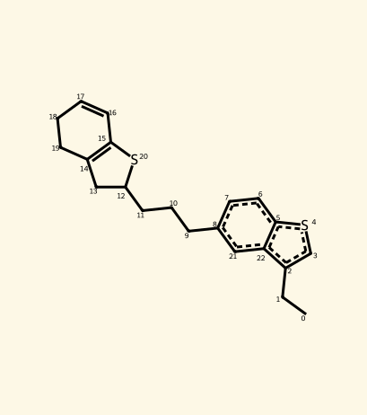 CCc1csc2ccc(CCCC3CC4=C(C=CCC4)S3)cc12